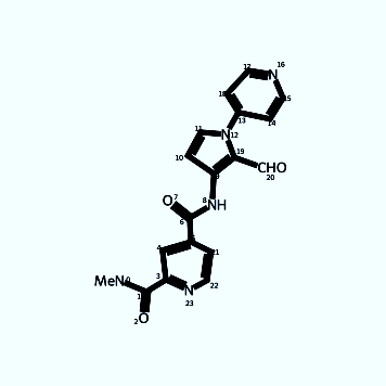 CNC(=O)c1cc(C(=O)Nc2ccn(-c3ccncc3)c2C=O)ccn1